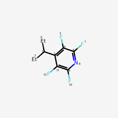 CCC(CC)c1c(F)c(F)nc(F)c1F